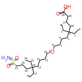 CCC(CC)(CCCCOCCCCC(CC)(CC)CCCS(N)(=O)=O)CCCC(=O)O